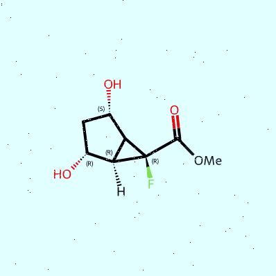 COC(=O)[C@@]1(F)C2[C@@H]1[C@H](O)C[C@@H]2O